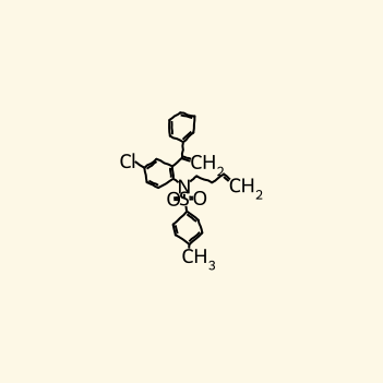 C=CCCN(c1ccc(Cl)cc1C(=C)c1ccccc1)S(=O)(=O)c1ccc(C)cc1